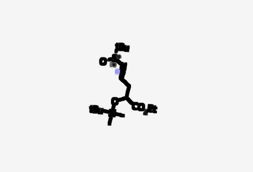 CCOC(=O)C(C/C=N/[S@+]([O-])C(C)(C)C)O[Si](C)(C)C(C)(C)C